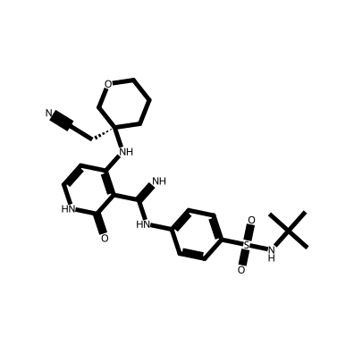 CC(C)(C)NS(=O)(=O)c1ccc(NC(=N)c2c(N[C@]3(CC#N)CCCOC3)cc[nH]c2=O)cc1